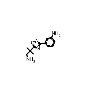 CC(C)(CN)c1nc(-c2cccc(N)c2)no1